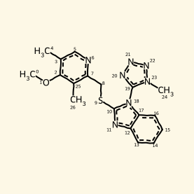 COc1c(C)cnc(CSc2nc3ccccc3n2-c2nnnn2C)c1C